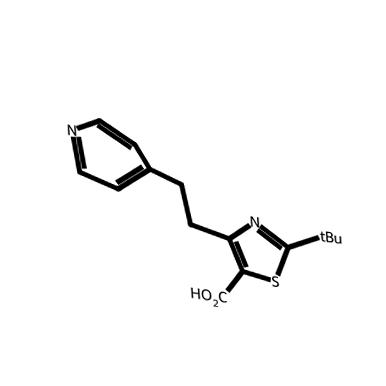 CC(C)(C)c1nc(CCc2ccncc2)c(C(=O)O)s1